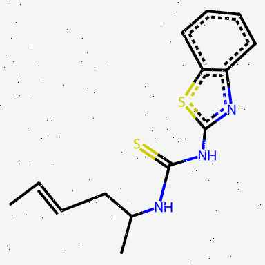 CC=CCC(C)NC(=S)Nc1nc2ccccc2s1